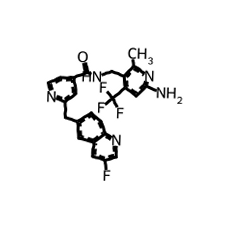 Cc1nc(N)cc(C(F)(F)F)c1CNC(=O)c1ccnc(Cc2ccc3ncc(F)cc3c2)c1